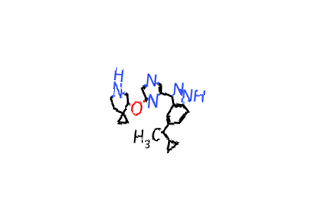 CC(c1ccc2[nH]nc(-c3cncc(O[C@H]4CNCCC45CC5)n3)c2c1)C1CC1